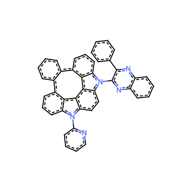 c1ccc(-c2nc3ccccc3nc2-n2c3cccc4c5ccccc5c5cccc6c5c5c(c43)c2ccc5n6-c2ccccn2)cc1